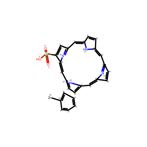 O=S(=O)(O)C1=Cc2cc3ccc(cc4nc(cc5ccc(cc1n2)[nH]5)C=C4)[nH]3.[Zn][c]1ccccc1